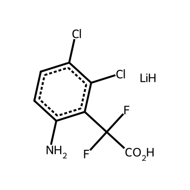 Nc1ccc(Cl)c(Cl)c1C(F)(F)C(=O)O.[LiH]